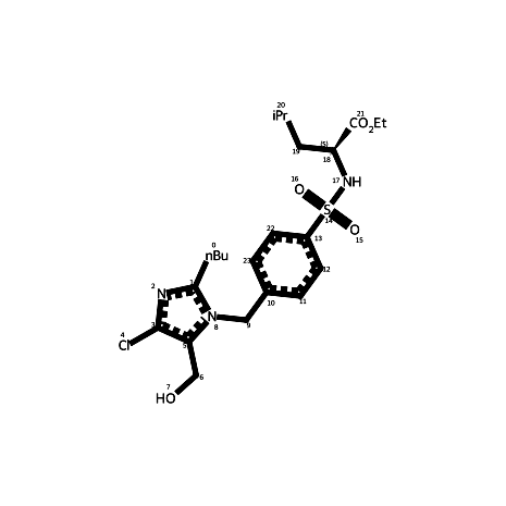 CCCCc1nc(Cl)c(CO)n1Cc1ccc(S(=O)(=O)N[C@@H](CC(C)C)C(=O)OCC)cc1